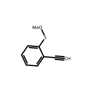 C#Cc1ccccc1SOC